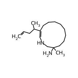 C=CCC(C)/C1=C/NCC(C)(N)CCCCCCCC1